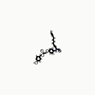 COc1ccc(COC(=O)COc2ccc(/C=C(\C#CCCCCC#CI)C=O)cc2)cc1